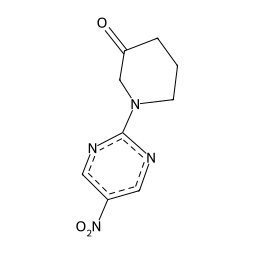 O=C1CCCN(c2ncc([N+](=O)[O-])cn2)C1